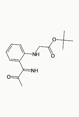 CC(=O)C(=N)c1ccccc1NCC(=O)OC(C)(C)C